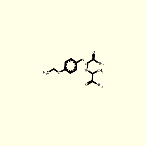 CCOc1ccc(C[C@@H](NC(C)C(N)=O)C(N)=O)cc1